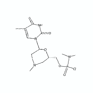 C=C1NC(=O)N(C2CN(C)C[C@@H](COP(=O)(Cl)N(C)C)O2)C=C1C